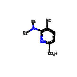 [C-]#[N+]c1ccc(C(=O)O)nc1N(CC)CC